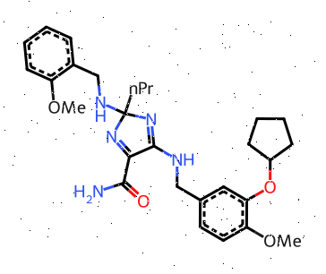 CCCC1(NCc2ccccc2OC)N=C(NCc2ccc(OC)c(OC3CCCC3)c2)C(C(N)=O)=N1